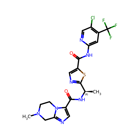 C[C@@H](NC(=O)c1cnc2n1CCN(C)C2)c1ncc(C(=O)Nc2cc(C(F)(F)F)c(Cl)cn2)s1